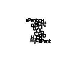 CCCCCC(C)(C)OOC(=O)Oc1c2ccccc2c(OC(=O)OOC(C)(C)CCCCC)c2ccccc12